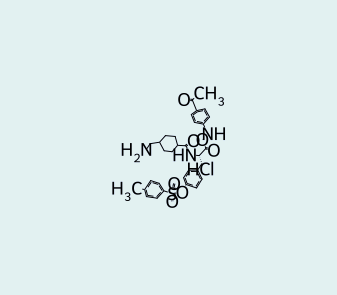 CC(=O)c1ccc(NOC(=O)[C@H](Cc2ccc(OS(=O)(=O)c3ccc(C)cc3)cc2)NC(=O)C2CCC(CN)CC2)cc1.Cl